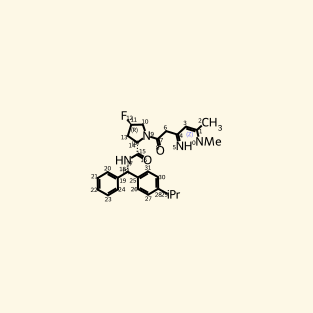 CN/C(C)=C\C(=N)CC(=O)N1C[C@H](F)C[C@H]1C(=O)N[C@@H](c1ccccc1)c1ccc(C(C)C)cc1